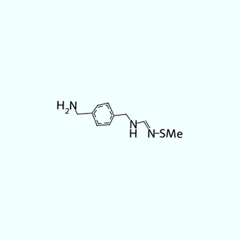 CSN=CNCc1ccc(CN)cc1